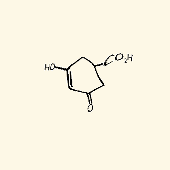 O=C1C=C(O)CC(C(=O)O)C1